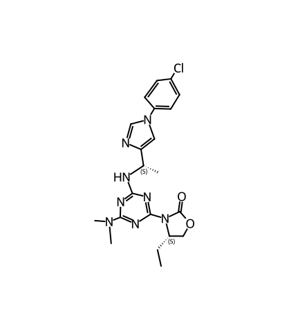 CC[C@H]1COC(=O)N1c1nc(N[C@@H](C)c2cn(-c3ccc(Cl)cc3)cn2)nc(N(C)C)n1